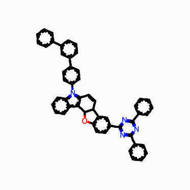 C1=CC2c3cc(-c4nc(-c5ccccc5)nc(-c5ccccc5)n4)ccc3OC2c2c1n(-c1ccc(-c3cccc(-c4ccccc4)c3)cc1)c1ccccc21